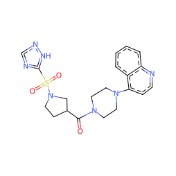 O=C(C1CCN(S(=O)(=O)c2ncn[nH]2)C1)N1CCN(c2ccnc3ccccc23)CC1